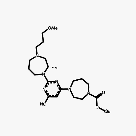 COCCCN1CCCN(c2nc(C#N)cc(N3CCCN(C(=O)OC(C)(C)C)CC3)n2)[C@@H](C)C1